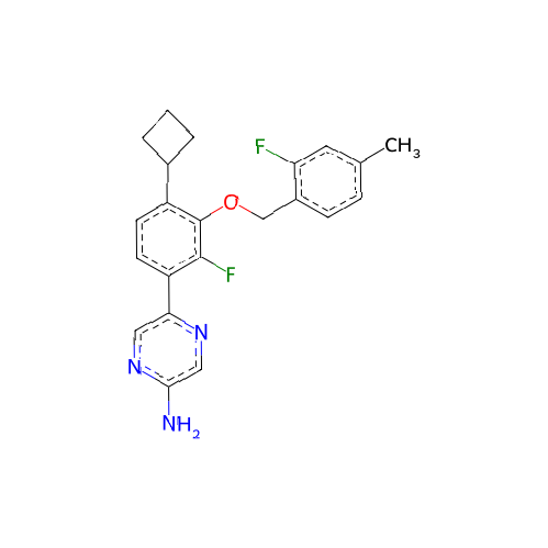 Cc1ccc(COc2c(C3CCC3)ccc(-c3cnc(N)cn3)c2F)c(F)c1